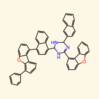 c1ccc(-c2cccc3c2oc2cccc(-c4ccc(C5NC(c6cccc7oc8ccccc8c67)=NC(c6ccc7ccccc7c6)N5)c5ccccc45)c23)cc1